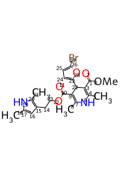 COC(=O)C1=C(C)NC(C)=C(C(=O)OCCc2cc(C)[nH]c2C)C1c1ccc(Br)o1